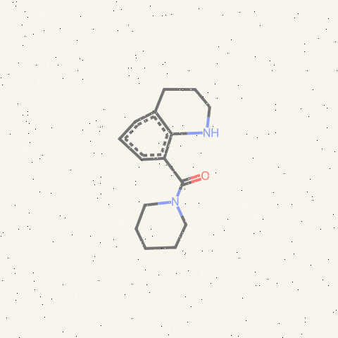 O=C(c1cccc2c1NCCC2)N1CCCCC1